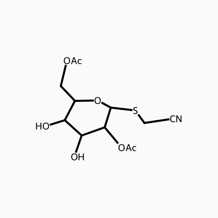 CC(=O)OCC1OC(SCC#N)C(OC(C)=O)C(O)C1O